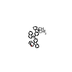 CC1(C)C2=C(CCC=C2)c2cc(N(c3ccc4c(c3)C3(c5ccccc5-4)C4CC5CC(C4)CC3C5)c3cccc4ccccc34)ccc21